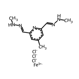 CNN=Cc1cc(C)cc(C=NNC)n1.[Cl-].[Cl-].[Cl-].[Fe+3]